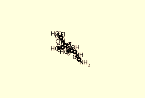 CCOc1cc(N=Nc2cc(Cl)c(S(=O)(=O)O)cc2Cl)c2cc(S(=O)(=O)O)ccc2c1N=Nc1c(S(=O)(=O)O)cc2cc(NC(=O)c3ccc(N)cc3)ccc2c1O